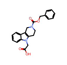 O=C(O)Cn1c2c(c3ccccc31)CN(C(=O)OCc1ccccc1)CC2